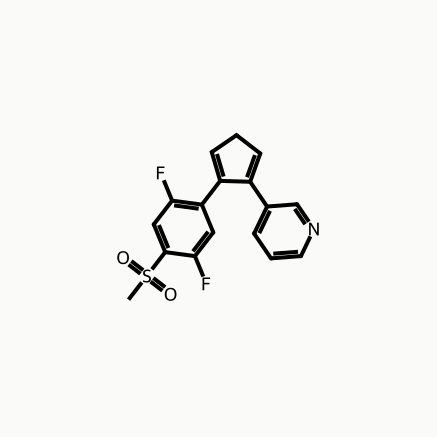 CS(=O)(=O)c1cc(F)c(C2=CCC=C2c2cccnc2)cc1F